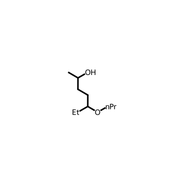 CCCOC(CC)CCC(C)O